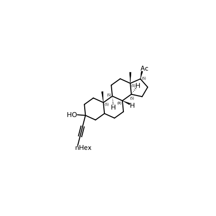 CCCCCCC#CC1(O)CC[C@@]2(C)C(CC[C@H]3[C@@H]4CC[C@H](C(C)=O)[C@@]4(C)CC[C@@H]32)C1